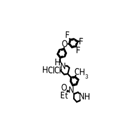 CCC(=O)N(c1ccc(C)c(C2CCN(Cc3ccc(Oc4cc(F)c(F)cc4F)cc3)CC2)c1)C1CCCNC1.Cl.Cl